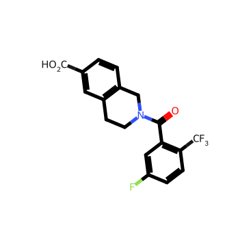 O=C(O)c1ccc2c(c1)CCN(C(=O)c1cc(F)ccc1C(F)(F)F)C2